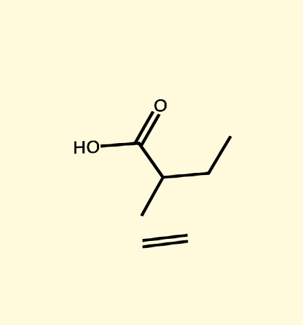 C=C.CCC(C)C(=O)O